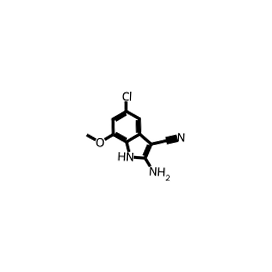 COc1cc(Cl)cc2c(C#N)c(N)[nH]c12